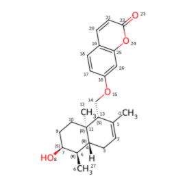 CC1=CC[C@@H]2[C@@H](C)[C@@H](O)CC[C@@]2(C)[C@@H]1COc1ccc2ccc(=O)oc2c1